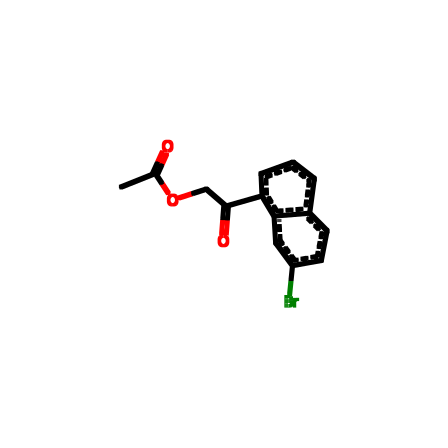 CC(=O)OCC(=O)c1cccc2ccc(Br)cc12